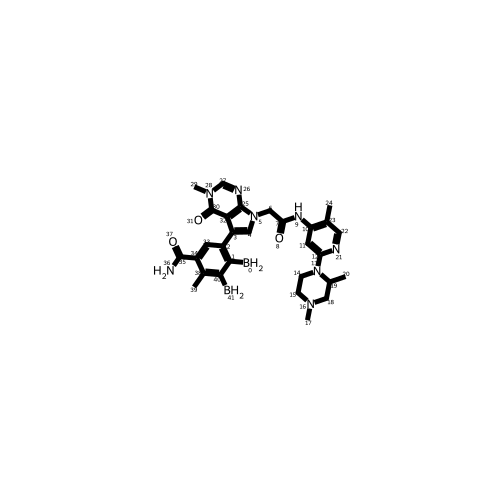 Bc1c(-c2cn(CC(=O)Nc3cc(N4CCN(C)CC4C)ncc3C)c3ncn(C)c(=O)c23)cc(C(N)=O)c(C)c1B